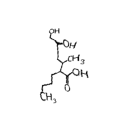 CCCCC(C(=O)O)C(C)CC(O)CO